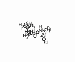 CC(C)(CNC(=O)c1ccc(Nc2nc(NC3(c4ccc(Cl)cc4)CC3)nc(OCC(F)(F)F)n2)cc1)C(=O)N[C@]1(C(=O)NS(=O)(=O)C(C)(C)C)C[C@H]1I